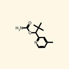 Cc1ccnc(C(OC(N)=O)C(C)(C)C)c1